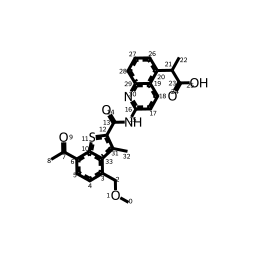 COCc1ccc(C(C)=O)c2sc(C(=O)Nc3ccc4c(C(C)C(=O)O)cccc4n3)c(C)c12